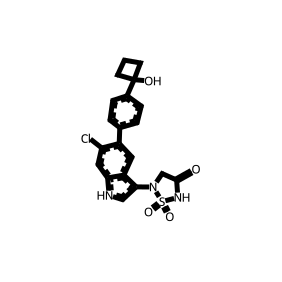 O=C1CN(c2c[nH]c3cc(Cl)c(-c4ccc(C5(O)CCC5)cc4)cc23)S(=O)(=O)N1